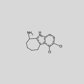 NC1CCCCc2c1[nH]c1ccc(Cl)c(Cl)c21